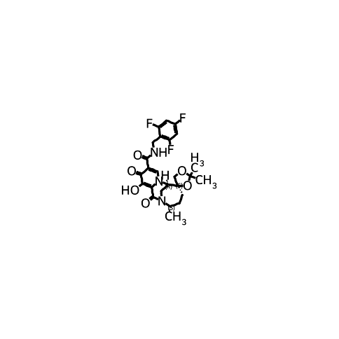 C[C@H]1CC[C@@]2(COC(C)(C)O2)[C@H]2CN1C(=O)c1c(O)c(=O)c(C(=O)NCc3c(F)cc(F)cc3F)cn12